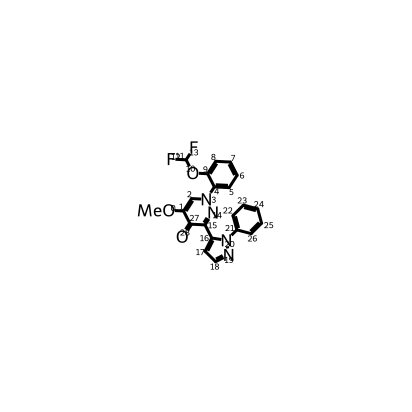 COc1cn(-c2ccccc2OC(F)F)nc(-c2ccnn2-c2ccccc2)c1=O